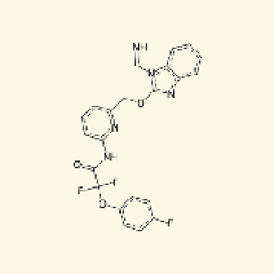 N=Cn1c(OCc2cccc(NC(=O)C(F)(F)Oc3ccc(F)cc3)n2)nc2ccccc21